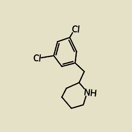 Clc1cc(Cl)cc(CC2CCCCN2)c1